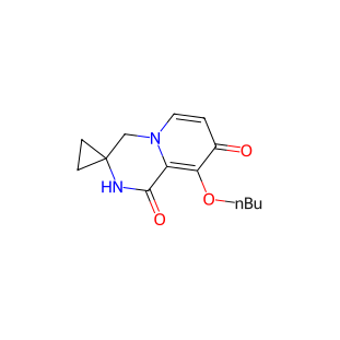 CCCCOc1c2n(ccc1=O)CC1(CC1)NC2=O